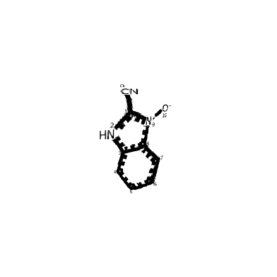 N#Cc1[nH]c2ccccc2[n+]1[O-]